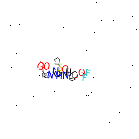 COC(=O)C[C@@H]1CCN(c2ccc(C(=O)N[C@H]3C4CC5CC3C[C@](OC(F)F)(C5)C4)c(SC3CCCC3)n2)C1